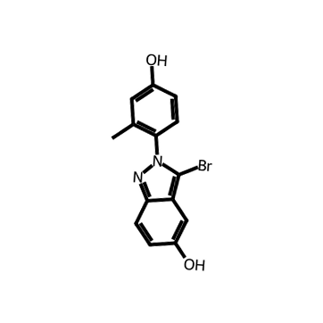 Cc1cc(O)ccc1-n1nc2ccc(O)cc2c1Br